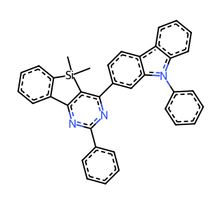 C[Si]1(C)c2ccccc2-c2nc(-c3ccccc3)nc(-c3ccc4c5ccccc5n(-c5ccccc5)c4c3)c21